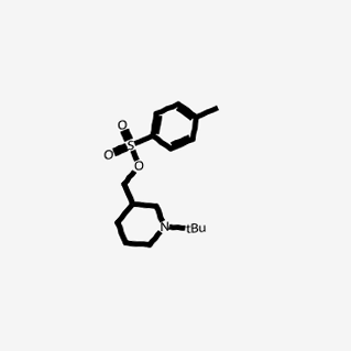 Cc1ccc(S(=O)(=O)OCC2CCCN(C(C)(C)C)C2)cc1